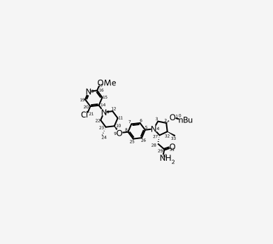 CCCCO[C@H]1CN(c2ccc(O[C@@H]3CCN(c4cc(OC)ncc4Cl)C[C@H]3C)cc2)[C@@H](CC(N)=O)[C@@H]1C